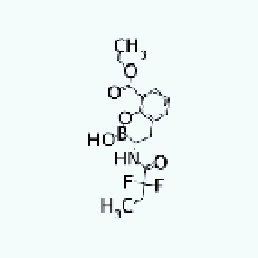 CCOC(=O)c1cccc2c1OB(O)[C@@H](NC(=O)C(F)(F)CC)C2